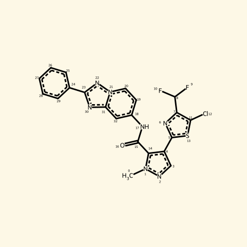 Cn1ncc(-c2nc(C(F)F)c(Cl)s2)c1C(=O)Nc1ccn2nc(-c3ccccc3)nc2c1